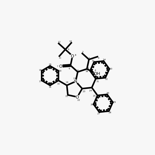 CC(C)C(O)C(C(=O)OC(C)(C)C)N1C(c2ccccc2)COC1C(c1ccccc1)c1ccccc1